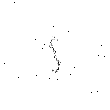 CCCCN1CCN(CCOCCOCCN2CCN(CCCC)C2)C1